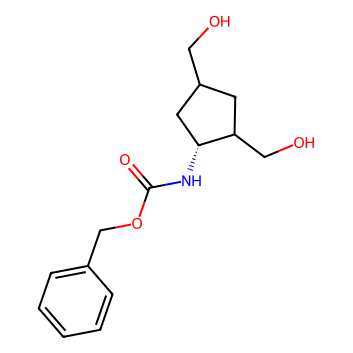 O=C(N[C@@H]1CC(CO)CC1CO)OCc1ccccc1